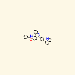 c1ccc(-c2nc3c(ccc4c(-c5ccc(-c6cccc7cccnc67)cc5)nc5ccccc5c43)o2)cc1